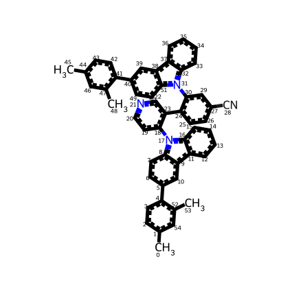 Cc1ccc(-c2ccc3c(c2)c2ccccc2n3-c2ccncc2-c2ccc(C#N)cc2-n2c3ccccc3c3cc(-c4ccc(C)cc4C)ccc32)c(C)c1